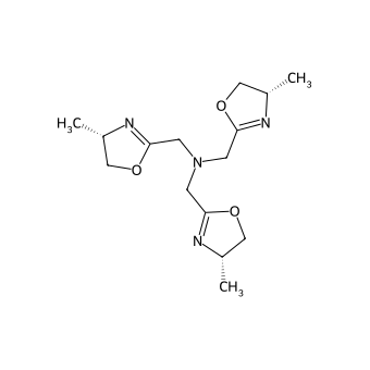 C[C@H]1COC(CN(CC2=N[C@@H](C)CO2)CC2=N[C@@H](C)CO2)=N1